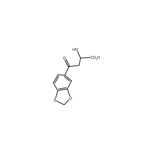 O=C(CC(O)C(=O)O)c1ccc2c(c1)OCO2